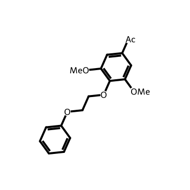 COc1cc(C(C)=O)cc(OC)c1OCCOc1ccccc1